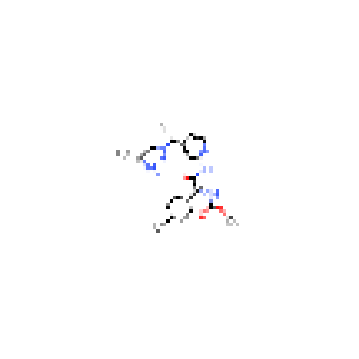 [2H]C(NC[C@H](N)C(F)(F)F)c1ccnc(NC(=O)[C@@H](NC(=O)OC(C)(C)C)C2CCC(C)CC2)c1